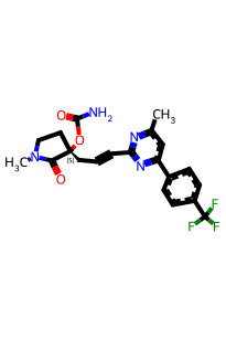 Cc1cc(-c2ccc(C(F)(F)F)cc2)nc(C#CC[C@]2(OC(N)=O)CCN(C)C2=O)n1